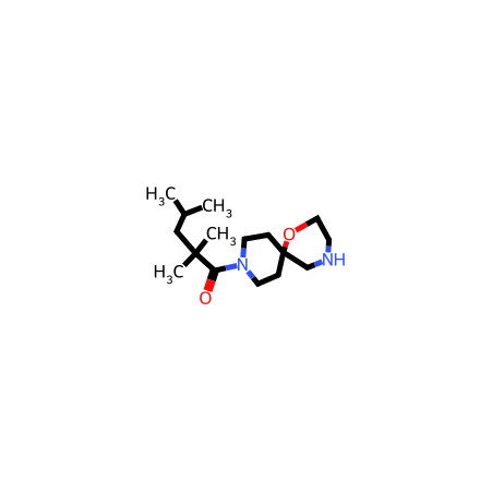 CC(C)CC(C)(C)C(=O)N1CCC2(CC1)CNCCO2